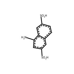 Nc1cc(S(=O)(=O)O)cc2[c]cc(S(=O)(=O)O)cc12